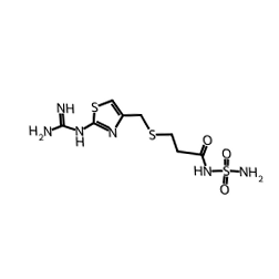 N=C(N)Nc1nc(CSCCC(=O)NS(N)(=O)=O)cs1